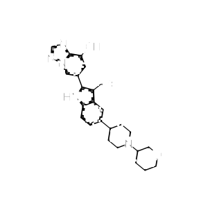 Cc1cc(-c2[nH]c3ccc(C4CCN(C5CCCOC5)CC4)cc3c2C(C)C)cn2ncnc12